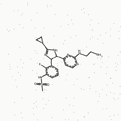 CS(=O)(=O)Nc1cccc(C2N=C(C3CC3)NC2c2ccnc(NCCN)n2)c1F